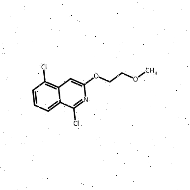 COCCOc1cc2c(Cl)cccc2c(Cl)n1